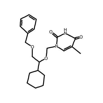 Cc1cn(COC(COCc2ccccc2)C2CCCCC2)c(=O)[nH]c1=O